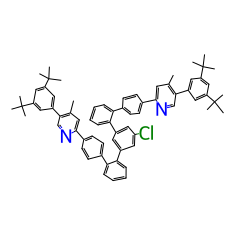 Cc1cc(-c2ccc(-c3ccccc3-c3cc(Cl)cc(-c4ccccc4-c4ccc(-c5cc(C)c(-c6cc(C(C)(C)C)cc(C(C)(C)C)c6)cn5)cc4)c3)cc2)ncc1-c1cc(C(C)(C)C)cc(C(C)(C)C)c1